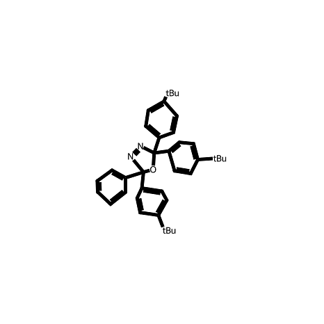 CC(C)(C)c1ccc(C2(c3ccccc3)N=NC(c3ccc(C(C)(C)C)cc3)(c3ccc(C(C)(C)C)cc3)O2)cc1